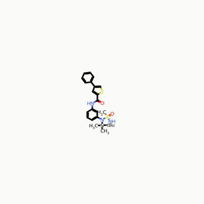 CC(C)(C)[Si](C)(C)N(c1cccc(NC(=O)c2cc(-c3ccccc3)cs2)c1)S(C)(=N)=O